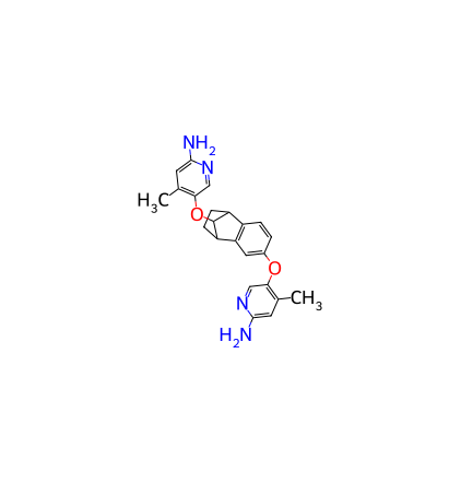 Cc1cc(N)ncc1Oc1ccc2c(c1)C1CCC2C1Oc1cnc(N)cc1C